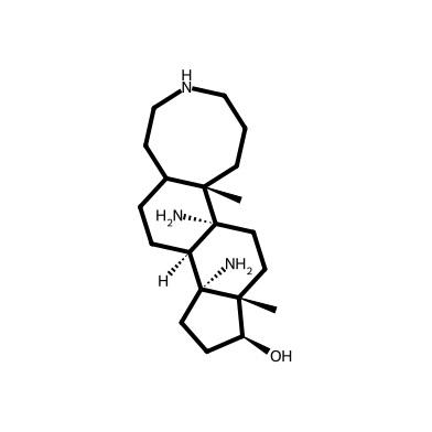 C[C@]12CCCNCCC1CC[C@H]1[C@]2(N)CC[C@]2(C)[C@@H](O)CC[C@@]12N